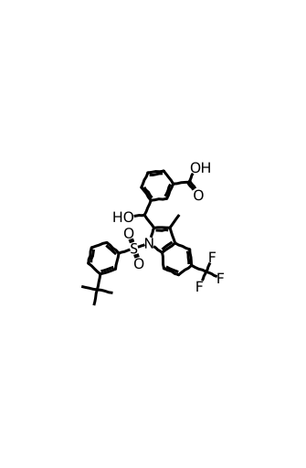 Cc1c(C(O)c2cccc(C(=O)O)c2)n(S(=O)(=O)c2cccc(C(C)(C)C)c2)c2ccc(C(F)(F)F)cc12